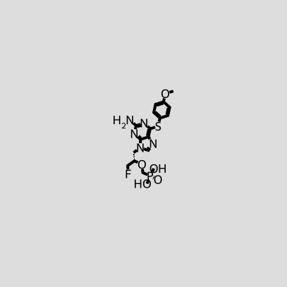 COc1ccc(Sc2nc(N)nc3c2ncn3C[C@@H](CF)OCP(=O)(O)O)cc1